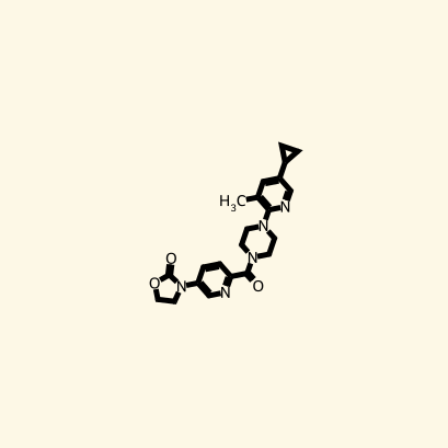 Cc1cc(C2CC2)cnc1N1CCN(C(=O)c2ccc(N3CCOC3=O)cn2)CC1